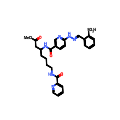 COC(=O)CC(CCCCNC(=O)c1ccccn1)NC(=O)c1ccc(NN=Cc2ccccc2S(=O)(=O)O)nc1